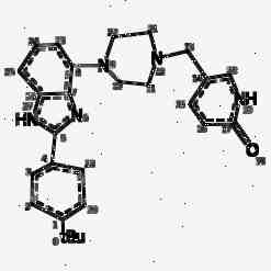 CC(C)(C)c1ccc(-c2nc3c(N4CCN(Cc5ccc(=O)[nH]c5)CC4)cccc3[nH]2)cc1